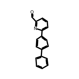 O=Cc1cccc(-c2ccc(-c3ccccc3)cc2)n1